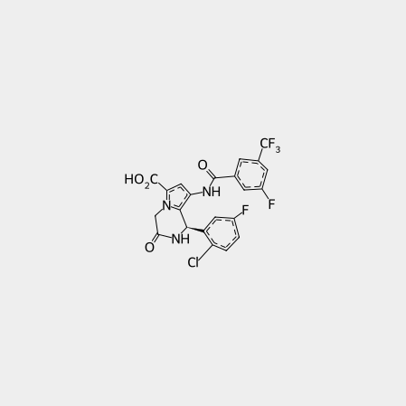 O=C1Cn2c(C(=O)O)cc(NC(=O)c3cc(F)cc(C(F)(F)F)c3)c2[C@@H](c2cc(F)ccc2Cl)N1